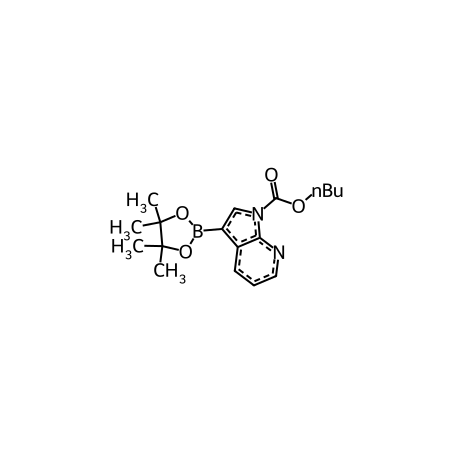 CCCCOC(=O)n1cc(B2OC(C)(C)C(C)(C)O2)c2cccnc21